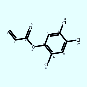 C=CC(=O)Oc1cc(Cl)c(Cl)cc1Cl